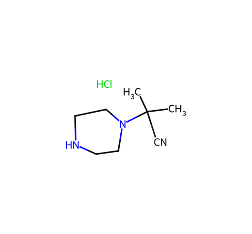 CC(C)(C#N)N1CCNCC1.Cl